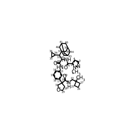 Cn1nccc1C(=O)NC(C(=O)Nc1cccc(C2(C(=O)NCC3(C)CCC3)CCOC2)c1)C(C1CC1)C12CC3CC(CC(C3)C1)C2